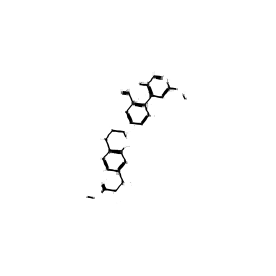 COC(=O)[C@@H](C)[C@@H](O)c1ccc2c(c1)O[C@@H](c1ccc(-c3cc(OC)ncc3F)c(C=O)c1)CC2